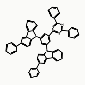 c1ccc(-c2ccc3c(c2)c2ccccc2n3-c2cc(-c3nc(-c4ccccc4)nc(-c4ccccc4)n3)cc(-n3c4ccccc4c4cc(-c5ccccc5)ccc43)c2)cc1